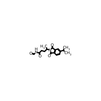 CC(C)c1ccc2c(c1)C(=O)N(C(C)CCC(=O)NC=O)C2=O